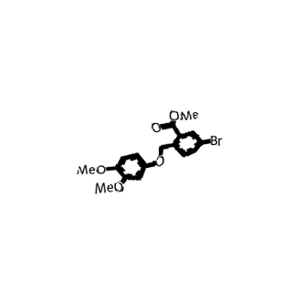 COC(=O)c1cc(Br)ccc1COc1ccc(OC)c(OC)c1